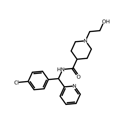 O=C(NC(c1ccc(Cl)cc1)c1ccccn1)C1CCN(CCO)CC1